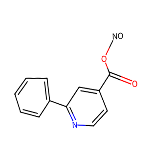 O=NOC(=O)c1ccnc(-c2ccccc2)c1